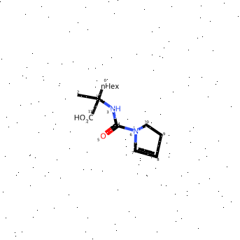 CCCCCCC(C)(NC(=O)N1C=CCC1)C(=O)O